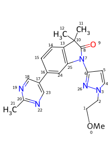 COCCn1ccc(N2C(=O)C(C)(C)c3ccc(-c4cnc(C)nc4)cc32)n1